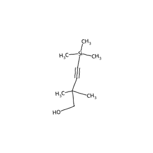 CC(C)(C#C[Si](C)(C)C)CO